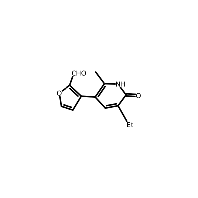 CCc1cc(-c2ccoc2C=O)c(C)[nH]c1=O